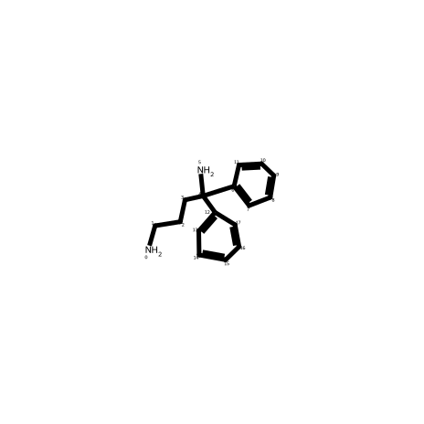 NCCCC(N)(c1ccccc1)c1ccccc1